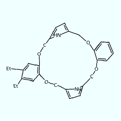 CCc1cc2c(cc1CC)OCc1ccc([nH]1)COc1ccccc1OCc1ccc([nH]1)CO2